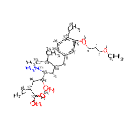 COCCCOc1cc(CC(CC(N)C(O)CC(C)C(=O)O)C(C)C)ccc1C